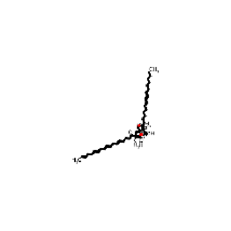 CCCCCCCCC=CCCCCCCCC(=O)C(C)(CC(O)(CN)C(C)(C(=O)O)C(=O)CCCCCCCC=CCCCCCCCC)C(=O)O